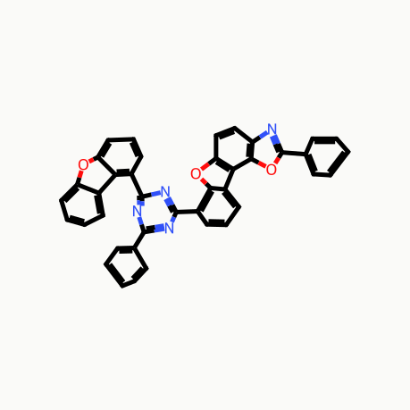 c1ccc(-c2nc(-c3cccc4c3oc3ccc5nc(-c6ccccc6)oc5c34)nc(-c3cccc4oc5ccccc5c34)n2)cc1